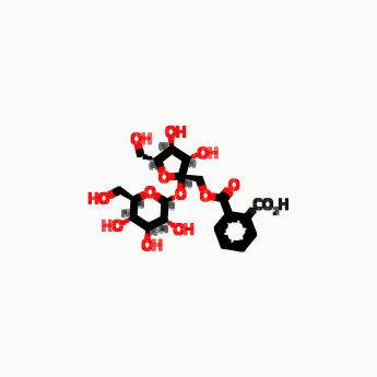 O=C(O)c1ccccc1C(=O)OC[C@@]1(O[C@H]2O[C@H](CO)[C@@H](O)[C@H](O)[C@H]2O)O[C@H](CO)[C@@H](O)[C@@H]1O